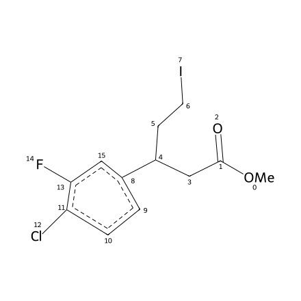 COC(=O)CC(CCI)c1ccc(Cl)c(F)c1